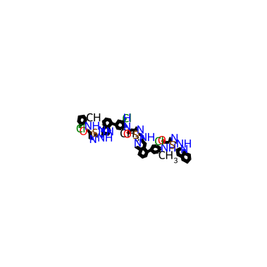 Cc1cc(-c2cccc3nc(Nc4ncc(C(=O)Nc5c(C)cccc5Cl)s4)cnc23)cc(Cl)c1NC(=O)c1cnc(Nc2cc3c(-c4cc(C)c(NC(=O)c5cnc(Nc6ccc7ccccc7n6)s5)c(Cl)c4)cccc3cn2)s1